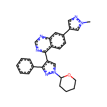 Cn1cc(-c2ccc3c(-c4cn(C5CCCCO5)nc4-c4ccccc4)ncnc3c2)cn1